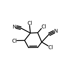 N#CC1(Cl)C=CC(Cl)C(Cl)(C#N)C1Cl